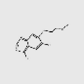 COCCOc1cc2ncnc(Cl)c2cc1O